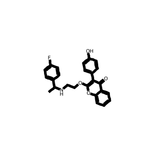 CC(NCCOc1oc2ccccc2c(=O)c1-c1ccc(O)cc1)c1ccc(F)cc1